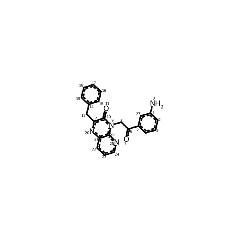 Nc1cccc(C(=O)Cn2c(=O)c(Cc3ccccc3)nc3cccnc32)c1